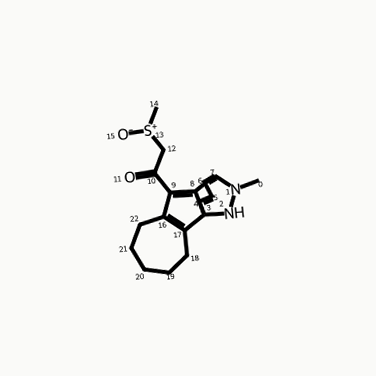 CN1NC23C=CC=C1C2=C(C(=O)C[S+](C)[O-])C1=C3CCCCC1